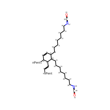 CCCCC/C=C/C1C(CCCCC)C=CC(CCCCCCCCN=C=O)C1CCCCCCCCN=C=O